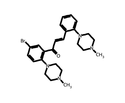 CN1CCN(c2ccccc2/C=C/C(=O)c2cc(Br)ccc2N2CCN(C)CC2)CC1